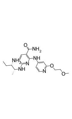 CC[C@H](N)[C@@H](C)Nc1ccc(C(N)=O)c(Nc2ccnc(OCCOC)c2)n1